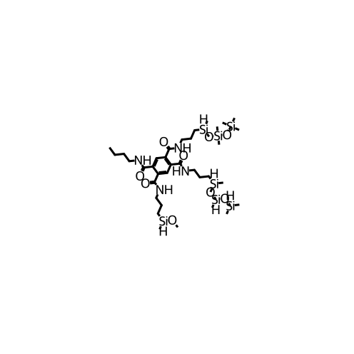 CCCCNC(=O)c1cc(C(=O)NCCC[SiH](C)O[Si](C)(C)O[Si](C)(C)C)c(C(=O)NCCC[SiH](C)O[SiH](C)O[SiH](C)C)cc1C(=O)NCCC[SiH](C)OC